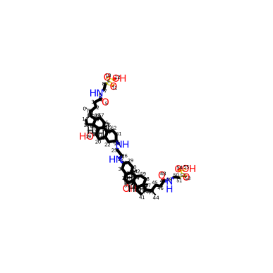 C[C@H](CCC(=O)NCCS(=O)(=O)O)[C@H]1CC[C@H]2[C@@H]3[C@@H](O)CC4CC(NCCNC5CC[C@@]6(C)C(C5)C[C@H](O)[C@H]5[C@@H]7CC[C@H]([C@H](C)CCC(=O)NCCS(=O)(=O)O)[C@@]7(C)CC[C@@H]56)CC[C@]4(C)[C@H]3CC[C@]12C